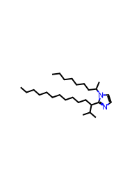 CCCCCCCCCCCC(c1nccn1C(C)CCCCCCC)C(C)C